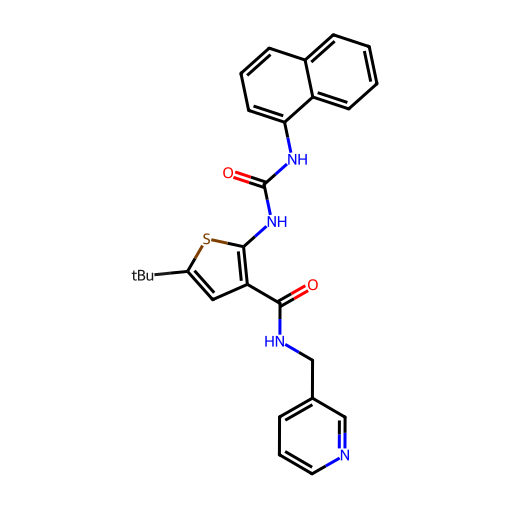 CC(C)(C)c1cc(C(=O)NCc2cccnc2)c(NC(=O)Nc2cccc3ccccc23)s1